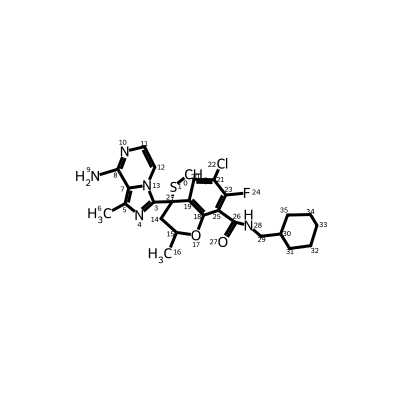 CS[C@@]1(c2nc(C)c3c(N)nccn23)CC(C)Oc2c1cc(Cl)c(F)c2C(=O)NCC1CCCCC1